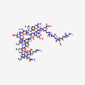 CSCC[C@H](NC(=O)[C@H](CC(C)C)NC(=O)[C@H](CC(=O)O)NC(=O)[C@H](CO)NC(=O)[C@H](CCSC)NC(=O)[C@H](Cc1ccccc1)NC(=O)[C@H](CC(=O)O)NC(=O)[C@H](CCC(N)=O)NC(=O)[C@H](CCC(=O)O)NC(=O)CNC(=O)CNC(=O)CNC(=O)[C@H](C)NC(=O)CNC(=O)CN)C(=O)N[C@@H](CCCCN)C(=O)N[C@@H](C)C(=O)N[C@@H](CC(C)C)C(=O)N[C@@H](CCC(N)=O)C(=O)N[C@@H](CCCCN)C(=O)O